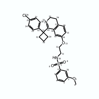 COc1cccc(S(=O)(=O)NCCOc2ccc3c(c2)C(C2(c4ccc(Cl)cc4)CCC2)=NCC3)c1